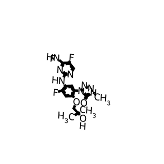 Cn1nnn(-c2cc(Nc3ncc(F)c(NF)n3)c(F)cc2OCC(C)(C)O)c1=O